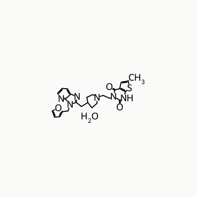 Cc1cc2c(=O)n(CCN3CCC(Cc4nc5cccnc5n4Cc4ccco4)CC3)c(=O)[nH]c2s1.O